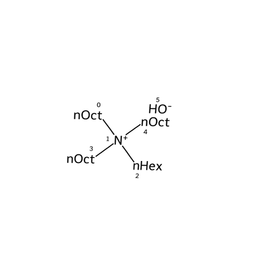 CCCCCCCC[N+](CCCCCC)(CCCCCCCC)CCCCCCCC.[OH-]